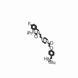 CC(C)NC(=O)N(CCN1CCN(C(=O)COc2ccc(CNC(C)(C)C)cc2)CC1)Cc1ccc(F)cc1